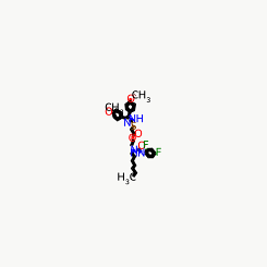 CCCCCCCN(CCOC(=O)CSc1nc(-c2ccc(OC)cc2)c(-c2ccc(OC)cc2)[nH]1)C(=O)Nc1ccc(F)cc1F